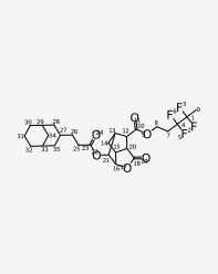 CC(F)(F)C(F)(F)CCOC(=O)C1C2CC3C(OC(=O)C31)C2OC(=O)CCC1CC2CCCC(C2)C1